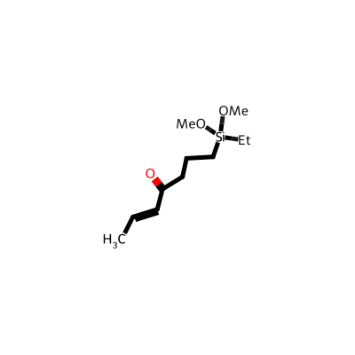 CC=CC(=O)CCC[Si](CC)(OC)OC